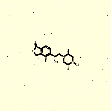 Cc1c([C@@H](O)CN2C[C@H](C)N(Cl)CC2C)ccc2c1COC2=O